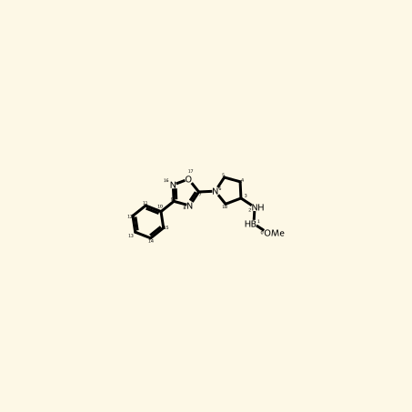 COBNC1CCN(c2nc(-c3ccccc3)no2)C1